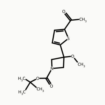 COC1(c2ccc(C(C)=O)s2)CN(C(=O)OC(C)(C)C)C1